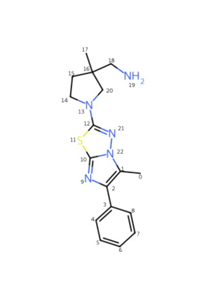 Cc1c(-c2ccccc2)nc2sc(N3CCC(C)(CN)C3)nn12